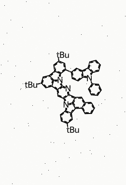 CC(C)(C)c1ccc2c(c1)c1c3ccccc3cc3c4nc5c(cc4n2c31)c1cc(C(C)(C)C)cc2c3cc(C(C)(C)C)cc(-c4ccc6c(c4)c4ccccc4n6-c4ccccc4)c3n5c12